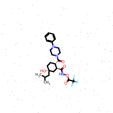 CC(C)C[C@@]1(O)CC[C@H](C(=O)N2CCN(c3ccccc3)CC2)[C@@H](C(=O)NOC(=O)C(F)(F)F)C1